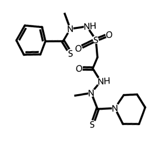 CN(NS(=O)(=O)CC(=O)NN(C)C(=S)N1CCCCC1)C(=S)c1ccccc1